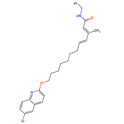 CC(C=CCCCCCCCOc1ccc2cc(Br)ccc2n1)=CC(=O)NCC(C)C